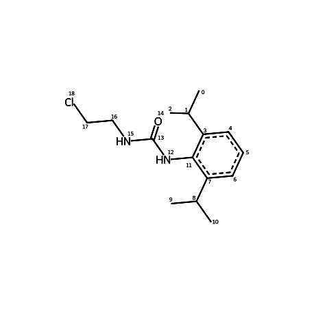 CC(C)c1cccc(C(C)C)c1NC(=O)NCCCl